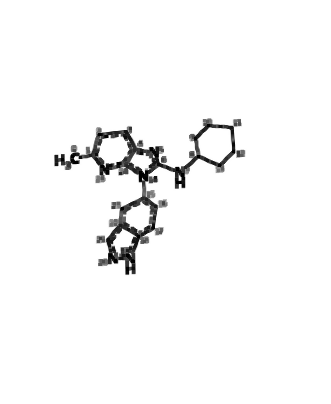 Cc1ccc2nc(NC3CCCCC3)n(-c3ccc4[nH]ncc4c3)c2n1